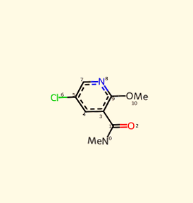 CNC(=O)c1cc(Cl)cnc1OC